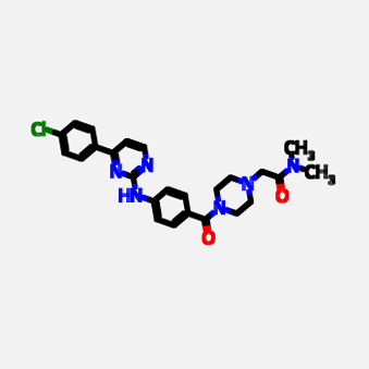 CN(C)C(=O)CN1CCN(C(=O)c2ccc(Nc3nccc(-c4ccc(Cl)cc4)n3)cc2)CC1